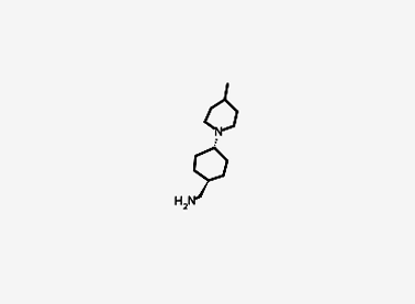 CC1CCN([C@H]2CC[C@H](CN)CC2)CC1